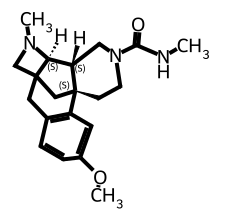 CNC(=O)N1CC[C@]23CC4(Cc5ccc(OC)cc52)CN(C)[C@H]4[C@@H]3C1